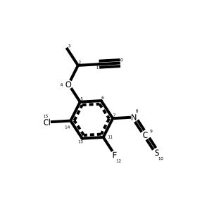 C#CC(C)Oc1cc(N=C=S)c(F)cc1Cl